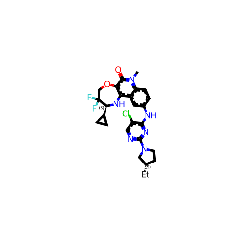 CC[C@H]1CCN(c2ncc(Cl)c(Nc3ccc4c(c3)c3c(c(=O)n4C)OCC(F)(F)[C@H](C4CC4)N3)n2)C1